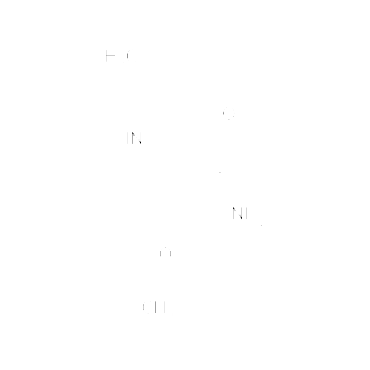 CCNC(=COC)C(N)=O